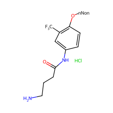 CCCCCCCCCOc1ccc(NC(=O)CCCN)cc1C(F)(F)F.Cl